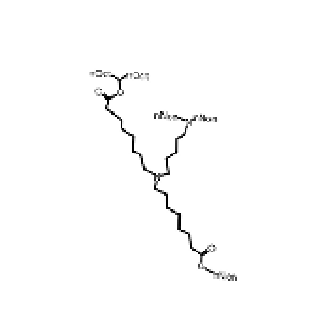 CCCCCCCCCOC(=O)CCCCCCCN(CCCCCCCC(=O)OC(CCCCCCCC)CCCCCCCC)CCCCCN(CCCCCCCCC)CCCCCCCCC